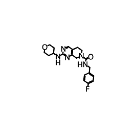 O=C(NCc1ccc(F)cc1)N1CCc2cnc(NC3CCOCC3)nc2C1